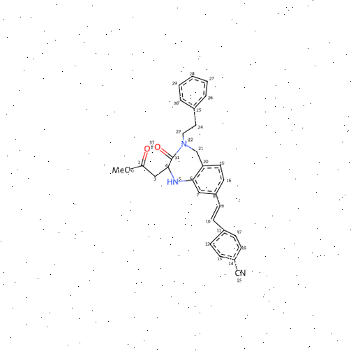 COC(=O)CC1Nc2cc(C=Cc3ccc(C#N)cc3)ccc2CN(CCc2ccccc2)C1=O